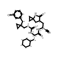 N#C[C@H](CC1CC2(CC2)NC1=O)NC(=O)[C@H](CC1CCCCC1)NC(=O)OCC1(Cc2cccc(Cl)c2)CC1